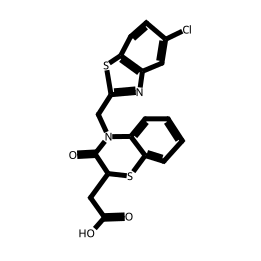 O=C(O)CC1Sc2ccccc2N(Cc2nc3cc(Cl)ccc3s2)C1=O